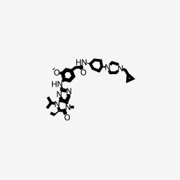 CC[C@@H]1C(=O)N(C)c2cnc(Nc3ccc(CC(=O)N[C@H]4CC[C@H](N5CCN(CC6CC6)CC5)CC4)cc3OC)nc2N1C(C)C